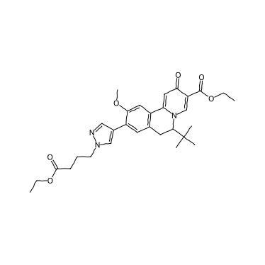 CCOC(=O)CCCn1cc(-c2cc3c(cc2OC)-c2cc(=O)c(C(=O)OCC)cn2C(C(C)(C)C)C3)cn1